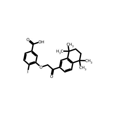 CC1(C)CCC(C)(C)c2cc(C(=O)COc3cc(C(=O)O)ccc3I)ccc21